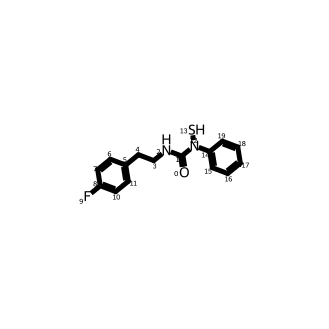 O=C(NCCc1ccc(F)cc1)N(S)c1cc[c]cc1